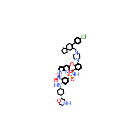 O=C(NS(=O)(=O)c1ccc(N[C@H]2CC[C@H](C3CNCCO3)CC2)c([N+](=O)[O-])c1)c1cccc(N2CCN(CC3=C(c4ccc(Cl)cc4)CCC4(CCCC4)C3)CC2)c1Oc1cnc2[nH]ccc2c1